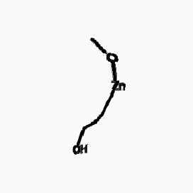 C[O][Zn][CH2]CO